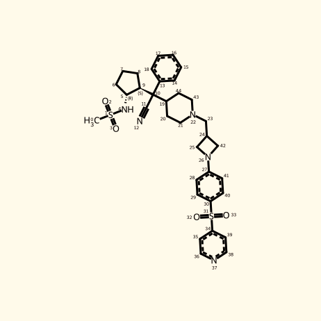 CS(=O)(=O)N[C@@H]1CCC[C@H]1C(C#N)(c1ccccc1)C1CCN(CC2CN(c3ccc(S(=O)(=O)c4ccncc4)cc3)C2)CC1